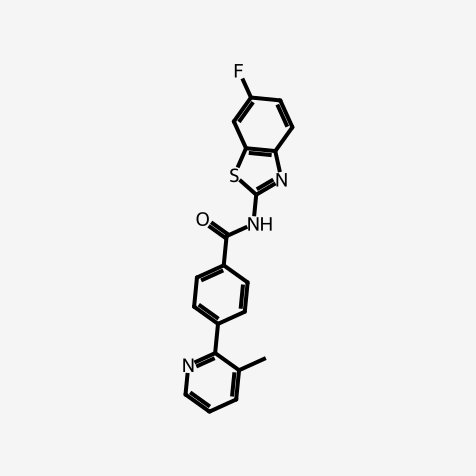 Cc1cccnc1-c1ccc(C(=O)Nc2nc3ccc(F)cc3s2)cc1